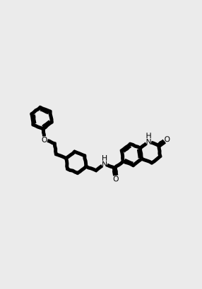 O=C1CCc2cc(C(=O)NCC3CCC(CCOc4ccccc4)CC3)ccc2N1